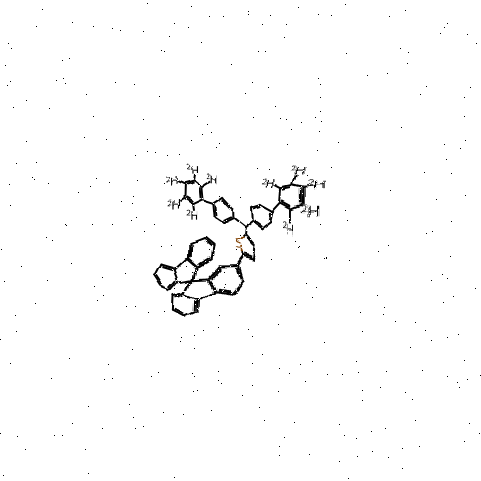 [2H]c1c([2H])c([2H])c(-c2ccc(C(c3ccc(-c4c([2H])c([2H])c([2H])c([2H])c4[2H])cc3)c3ccc(-c4ccc5c(c4)C4(c6ccccc6-c6ccccc64)c4ccccc4-5)s3)cc2)c([2H])c1[2H]